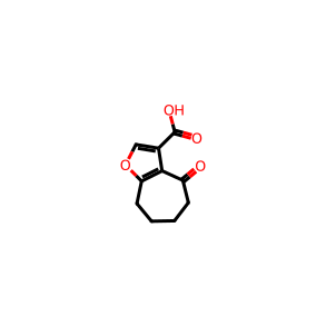 O=C(O)c1coc2c1C(=O)CCCC2